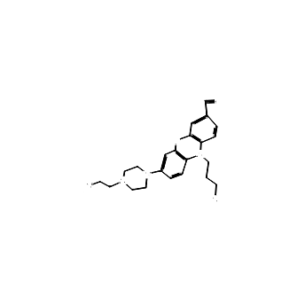 NCCCN1c2ccc(C=O)cc2Sc2cc(N3CCN(CCN)CC3)ccc21